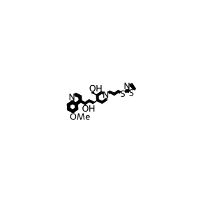 COc1ccc2nccc([C@@H](O)CC[C@@H]3CCN(CCCSc4nccs4)C[C@@H]3CO)c2c1